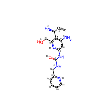 COC(=N)c1c(N)cc(NC(=O)NCc2ccccn2)nc1CO